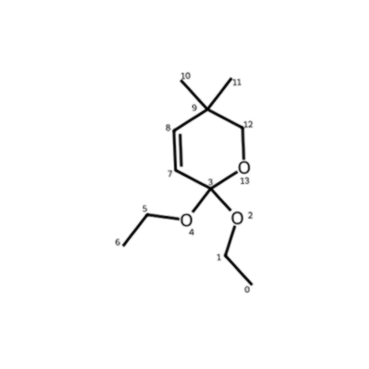 CCOC1(OCC)C=CC(C)(C)CO1